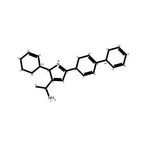 CC(N)C1=CC(C2C=CC(C3C=CC=CC3)=CC2)=NC1C1C=CCCC1